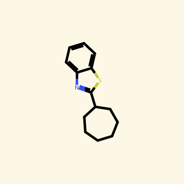 c1ccc2sc(C3CCCCCC3)nc2c1